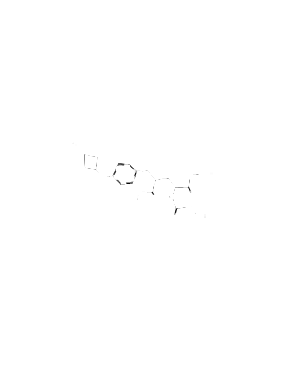 CC(C)(C)OC(=O)NC(CC(Cc1ccc(OC2CC([18F])C2)cc1)C(=O)OC(C)(C)C)C(=O)OC(C)(C)C